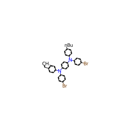 C=Cc1ccc(N(c2ccc(Br)cc2)c2ccc(N(c3ccc(Br)cc3)c3ccc(CCCC)cc3)cc2)cc1